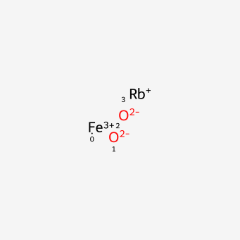 [Fe+3].[O-2].[O-2].[Rb+]